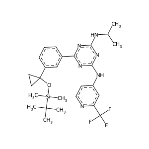 CC(C)Nc1nc(Nc2ccnc(C(F)(F)F)c2)nc(-c2cccc(C3(O[Si](C)(C)C(C)(C)C)CC3)c2)n1